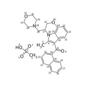 CS(=O)(=O)O.Cc1c(C(=O)c2cccc3ccccc23)c2cccc3c2n1C(CN1CCOCC1)CO3